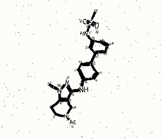 CC(=O)N1CCc2c(c(Nc3ccc(-c4cccc(NS(C)(=O)=O)c4)cc3)nn2C)C1